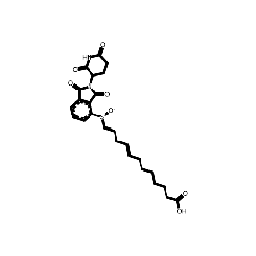 O=C(O)CCCCCCCCCCC[S+]([O-])c1cccc2c1C(=O)N(C1CCC(=O)NC1=O)C2=O